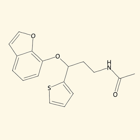 CC(=O)NCCC(Oc1cccc2ccoc12)c1cccs1